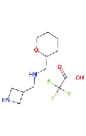 C1CCC(CNCC2CNC2)OC1.O=C(O)C(F)(F)F